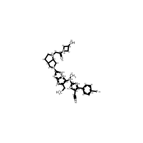 CCc1nc2sc(N3CC4CCN(CC(=O)N5CC(O)C5)C4C3)nn2c1N(C)c1nc(-c2ccc(F)cc2)c(C#N)s1